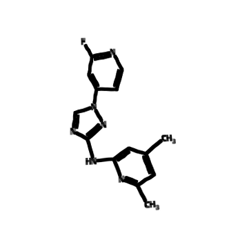 Cc1cc(C)nc(Nc2ncn(-c3ccnc(F)c3)n2)c1